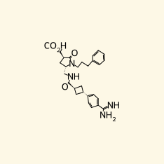 N=C(N)c1ccc([C@H]2C[C@H](C(=O)NC[C@@H]3C[C@@H](CC(=O)O)C(=O)N3CCCc3ccccc3)C2)cc1